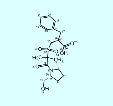 CC(C)(C(=O)N1CCC[C@@H]1CO)S(=O)(=O)C[C@@H](Cc1ccccc1)C(=O)O